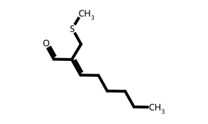 CCCCCC=C(C=O)CSC